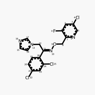 Fc1cc(Cl)cnc1CON=C(Cn1ccnc1)c1ccc(Cl)cc1Cl